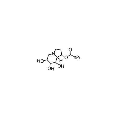 CCCC(=O)O[C@H]1CCN2C[C@H](O)[C@@H](O)[C@H](O)[C@@H]12